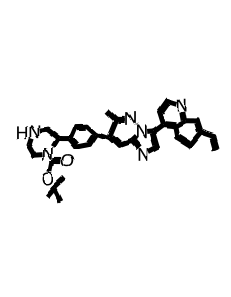 C=Cc1ccc2c(-c3cnc4cc(-c5ccc(C6CNCCN6C(=O)OC(C)(C)C)cc5)c(C)nn34)ccnc2c1